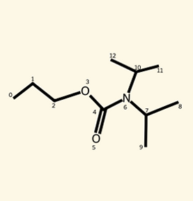 CCCOC(=O)N(C(C)C)C(C)C